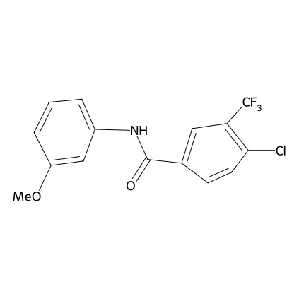 COc1cccc(NC(=O)c2ccc(Cl)c(C(F)(F)F)c2)c1